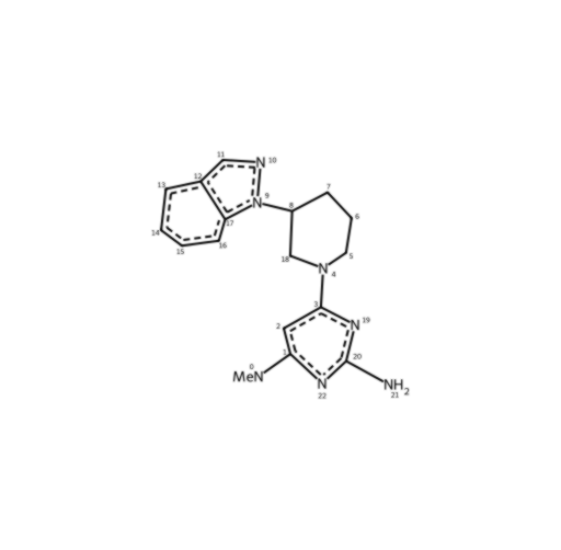 CNc1cc(N2CCCC(n3ncc4ccccc43)C2)nc(N)n1